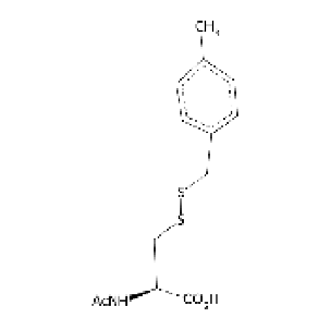 CC(=O)N[C@@H](CSSCc1ccc(C)cc1)C(=O)O